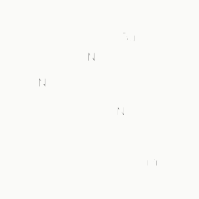 CC(C)c1ccc2ncn(C(C)(C)C)c2n1